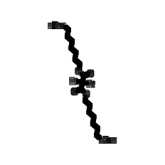 CCCCCCCCCCCCCCCCCOC(=O)C(CC)(CC)C(=O)OCCCCCCCCCCCCCCCCC